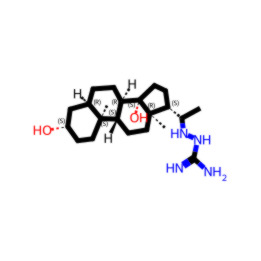 CC(NNC(=N)N)[C@H]1CC[C@]2(O)[C@@H]3CC[C@@H]4C[C@@H](O)CC[C@]4(C)[C@H]3CC[C@]12C